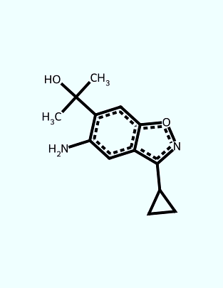 CC(C)(O)c1cc2onc(C3CC3)c2cc1N